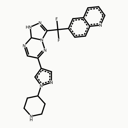 FC(F)(C1=NNC2N=CC(c3cnn(C4CCNCC4)c3)=NN12)c1ccc2ncccc2c1